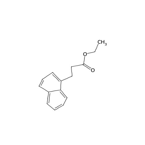 CCOC(=O)CCc1cccc2ccccc12